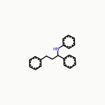 c1ccc(CCC(Nc2ccccc2)c2ccccc2)cc1